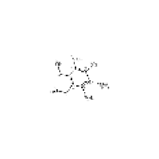 Nc1c(N)c(CO)c(CO)c(S(=O)(=O)O)c1Cl